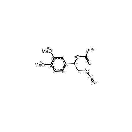 CCCC(=O)O[C@H](CN=[N+]=[N-])c1ccc(OC)c(OC)c1